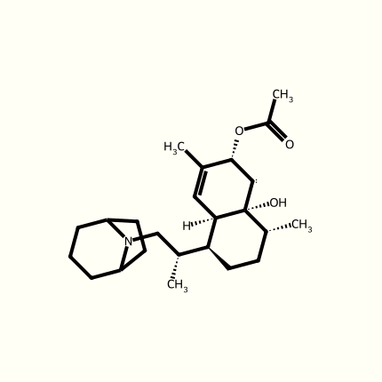 CC(=O)O[C@@H]1[C][C@@]2(O)[C@H](C)CC[C@@H]([C@H](C)CN3C4CCCC3CC4)[C@H]2C=C1C